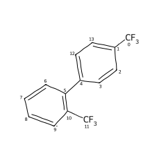 FC(F)(F)c1ccc(-c2ccc[c]c2C(F)(F)F)cc1